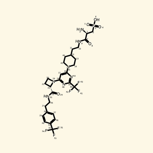 N[C@@H](CS(=O)(=O)O)C(=O)NCCC1CCN(c2cc(N3CC[C@H]3C(=O)NCCc3ccc(C(F)(F)F)cc3)nc(C(F)(F)F)n2)CC1